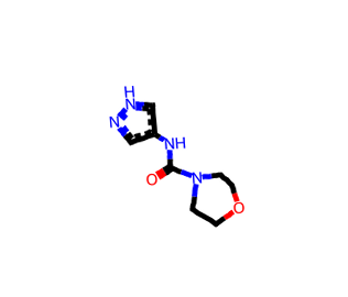 O=C(Nc1cn[nH]c1)N1CCOCC1